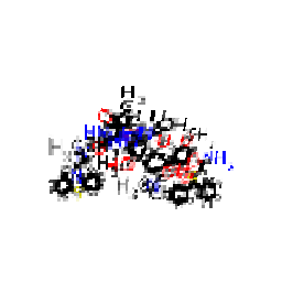 C=CCC1(C(C)CC)C(=O)NC(=O)NC1=O.CC(=O)Nc1ccc(O)cc1.CC(CN1c2ccccc2Sc2ccccc21)N(C)C.COc1cccc([C@@]2(O)CCCC[C@@H]2CN(C)C)c1.NC(=O)C[S+]([O-])C(c1ccccc1)c1ccccc1